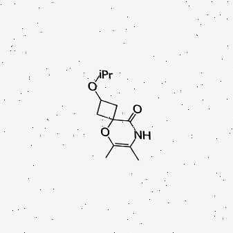 CC1=C(C)OC2(CC(OC(C)C)C2)C(=O)N1